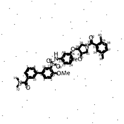 COc1ccc(-c2cccc(C(=O)N(C)C)c2)cc1S(=O)(=O)Nc1cccc(OC2CN(C(=O)c3cc(C)ccc3C)CC2OC)c1